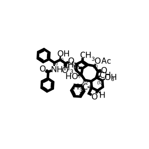 CC(=O)O[C@H]1C(=O)[C@@]2(C)C([C@H](c3ccccc3)[C@]3(O)C[C@H](OC(=O)[C@H](O)[C@@H](NC(=O)c4ccccc4)c4ccccc4)C(C)=C1C3(C)C)[C@]1(C)CO[C@@H]1C[C@@H]2O